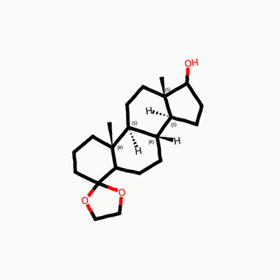 C[C@]12CCCC3(OCCO3)C1CC[C@@H]1[C@@H]2CC[C@]2(C)C(O)CC[C@@H]12